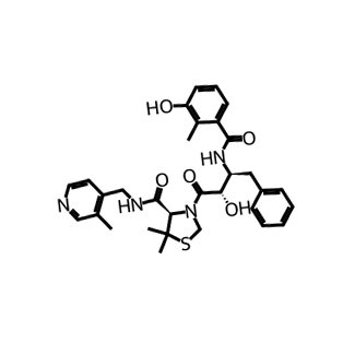 Cc1cnccc1CNC(=O)[C@H]1N(C(=O)[C@@H](O)[C@H](Cc2ccccc2)NC(=O)c2cccc(O)c2C)CSC1(C)C